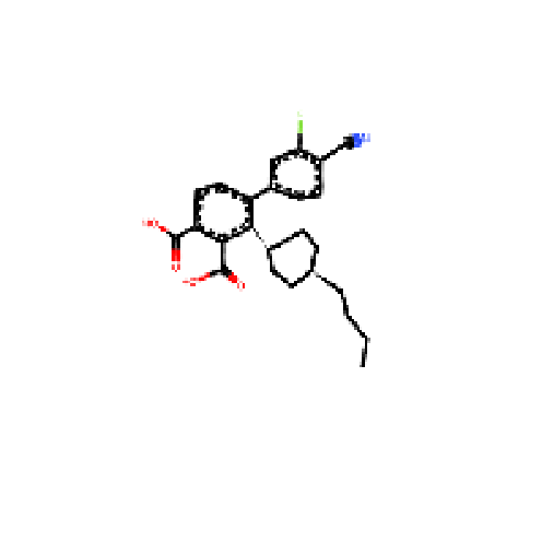 CCCC[C@H]1CC[C@H](c2c(-c3ccc(C#N)c(F)c3)ccc(C(=O)O)c2C(=O)O)CC1